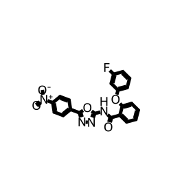 O=C(Nc1nnc(-c2ccc([N+](=O)[O-])cc2)o1)c1ccccc1Oc1cccc(F)c1